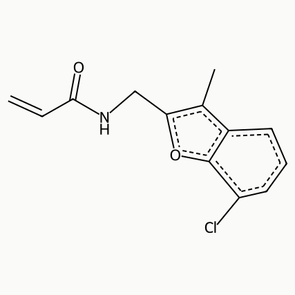 C=CC(=O)NCc1oc2c(Cl)cccc2c1C